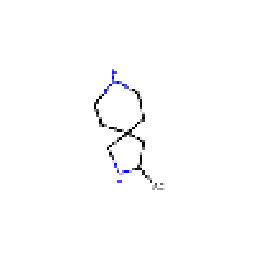 CC(=O)C1CC2(CCNCC2)CN1